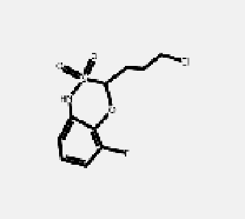 O=S1(=O)Nc2cccc(F)c2OC1CCCCl